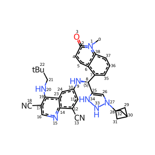 Cn1c(=O)ccc2c([C@H](Nc3cc(C#N)c4ncc(C#N)c(NCC(C)(C)C)c4c3)C3=CN(C45CC(C4)C5)NN3)cccc21